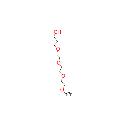 CCCOCCOCCOCCOCCCO